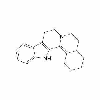 c1ccc2c3c([nH]c2c1)C1=C2CCCCC2CCN1CC3